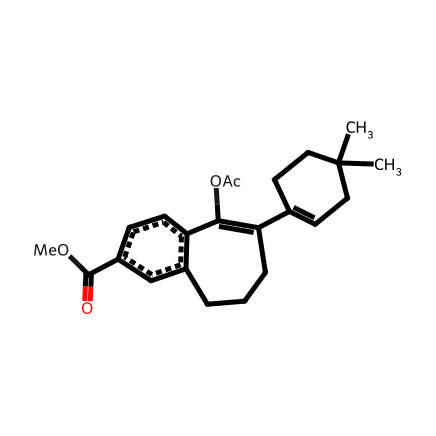 COC(=O)c1ccc2c(c1)CCCC(C1=CCC(C)(C)CC1)=C2OC(C)=O